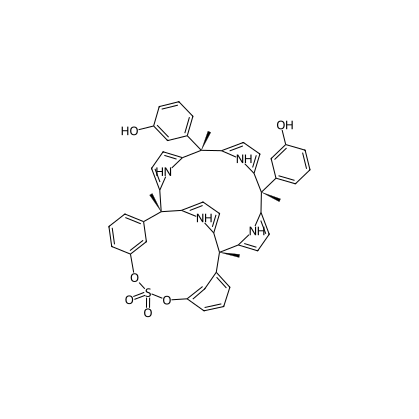 C[C@]1(c2cccc(O)c2)c2ccc([nH]2)[C@@](C)(c2cccc(O)c2)c2ccc([nH]2)[C@@]2(C)c3cccc(c3)OS(=O)(=O)Oc3cccc(c3)[C@@](C)(c3ccc1[nH]3)c1ccc2[nH]1